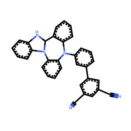 N#Cc1cc(C#N)cc(-c2cccc(N3c4ccccc4C4Nc5ccccc5N4c4ccccc43)c2)c1